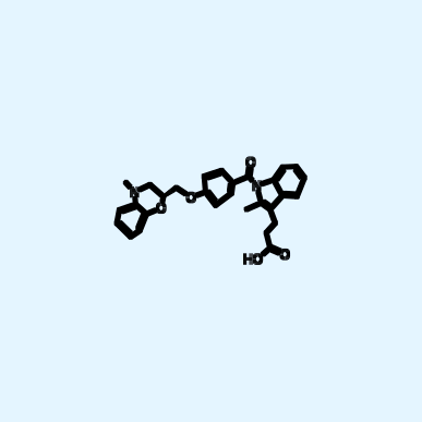 Cc1c(CCC(=O)O)c2ccccc2n1C(=O)c1ccc(OC[C@@H]2CN(C)c3ccccc3O2)cc1